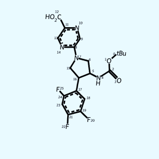 CC(C)(C)OC(=O)NC1CN(c2cnc(C(=O)O)cn2)CC1c1cc(F)c(F)cc1F